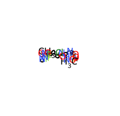 COc1nc(O[C@@H]2CCc3c(-c4cccc(-c5nc6cc(CN7CC[C@@H](C(=O)NS(=O)(=O)C8(C)CC8)C7)cc(C#N)c6o5)c4Cl)cccc32)c(C(F)(F)F)nc1CN1CCCC1